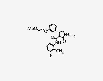 COCCOc1cccc([C@@H]2CN(C)C(=O)C2C(=O)Nc2cccc(F)c2C)c1